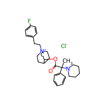 CC(C(=O)OC1C[N+]2(CCc3ccc(F)cc3)CCC1CC2)(c1ccccc1)N1CCCCC1.[Cl-]